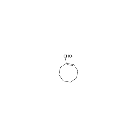 O=[C]/C1=C/CCCCCC1